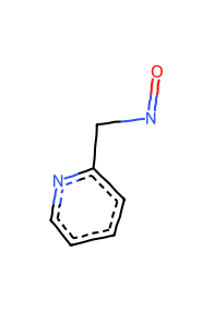 O=NCc1ccccn1